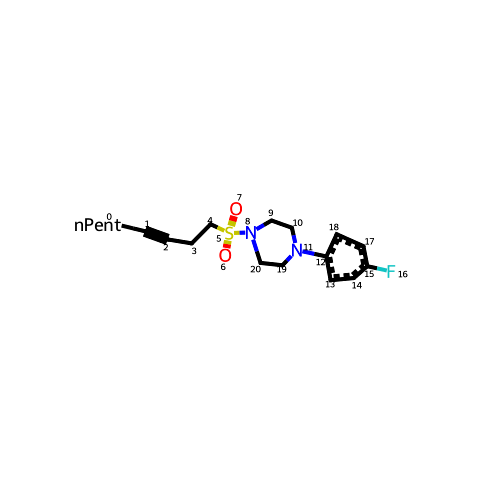 CCCCCC#CCCS(=O)(=O)N1CCN(c2ccc(F)cc2)CC1